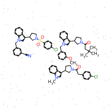 COc1cccc(Cn2cc(C3CCN(C(=O)CC(C)(C)C)C3)c3ccccc32)c1.Cn1cc(C2CCN(C(=O)Cc3ccc(Cl)cc3)C2)c2ccccc21.N#Cc1cccc(Cn2cc(C3CCN(S(=O)(=O)c4ccc(Cl)cc4)C3)c3ccccc32)c1